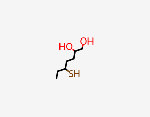 CCC(S)CCC(O)CO